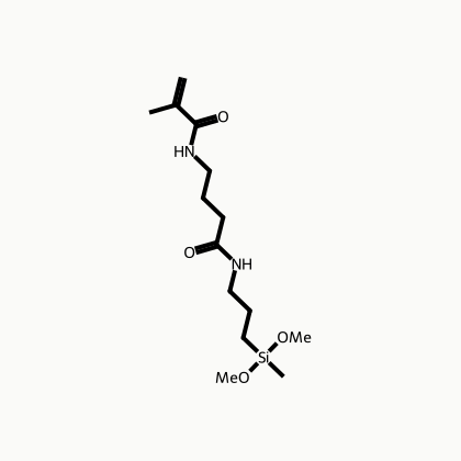 C=C(C)C(=O)NCCCC(=O)NCCC[Si](C)(OC)OC